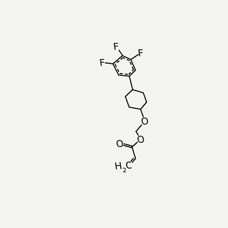 C=CC(=O)OCOC1CCC(c2cc(F)c(F)c(F)c2)CC1